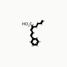 C=CCCC(=CC=Cc1ccccc1)C(=O)O